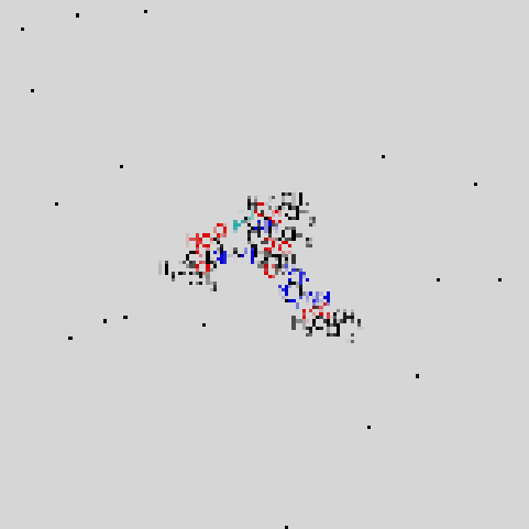 CC(C)(C)OC(=O)Nc1ncnc2c1ncn2[C@@H]1O[C@H](CN(CCC(NC(=O)OC(C)(C)C)C(F)(F)F)CC[C@H](NC(=O)OC(C)(C)C)C(=O)O)[C@H]2OC(C)(C)O[C@H]21